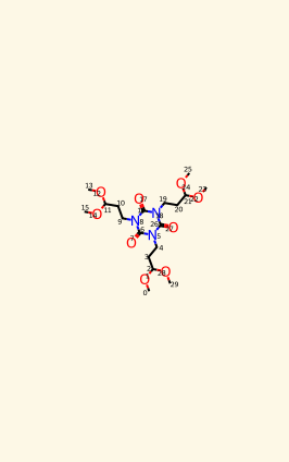 COC(CCn1c(=O)n(CCC(OC)OC)c(=O)n(CCC(OC)OC)c1=O)OC